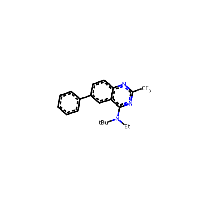 CCN(c1nc(C(F)(F)F)nc2ccc(-c3ccccc3)cc12)C(C)(C)C